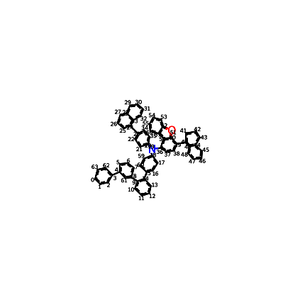 c1ccc(-c2cccc(-c3ccccc3-c3ccc(N(c4ccc(-c5cccc6ccccc56)cc4)c4ccc(-c5cccc6ccccc56)c5oc6ccccc6c45)cc3)c2)cc1